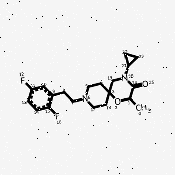 CC1OC2(CCN(CCc3cc(F)ccc3F)CC2)CN(C2CC2)C1=O